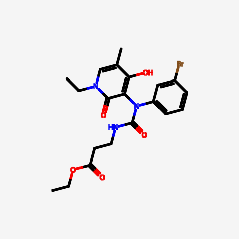 CCOC(=O)CCNC(=O)N(c1cccc(Br)c1)c1c(O)c(C)cn(CC)c1=O